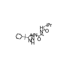 CC(C)CC(=O)N[C@@H](C)C(=O)Nc1cc(C(C)(C)c2ccccc2)n[nH]1